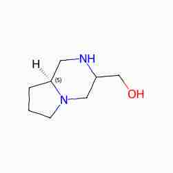 OCC1CN2CCC[C@H]2CN1